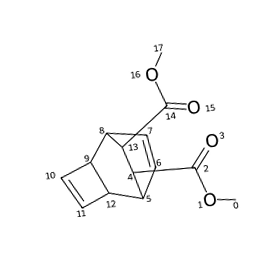 COC(=O)C1C2C=CC(C3C=CC32)C1C(=O)OC